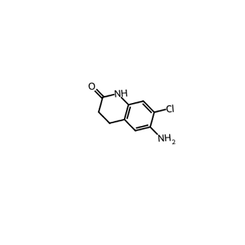 Nc1cc2c(cc1Cl)NC(=O)CC2